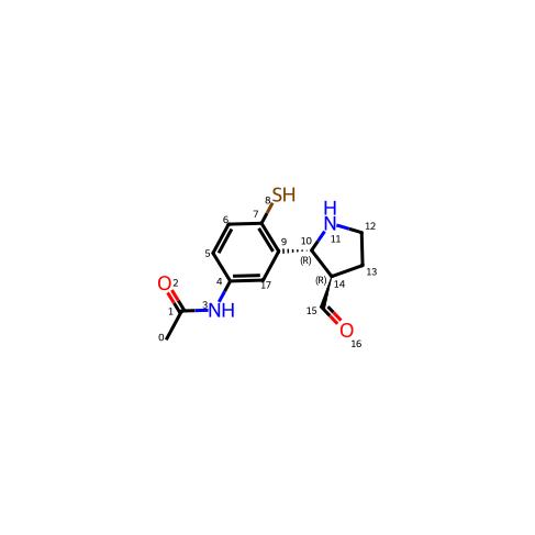 CC(=O)Nc1ccc(S)c([C@@H]2NCC[C@H]2C=O)c1